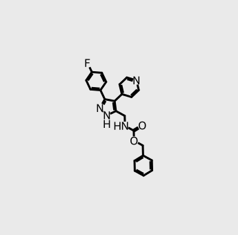 O=C(NCc1[nH]nc(-c2ccc(F)cc2)c1-c1ccncc1)OCc1ccccc1